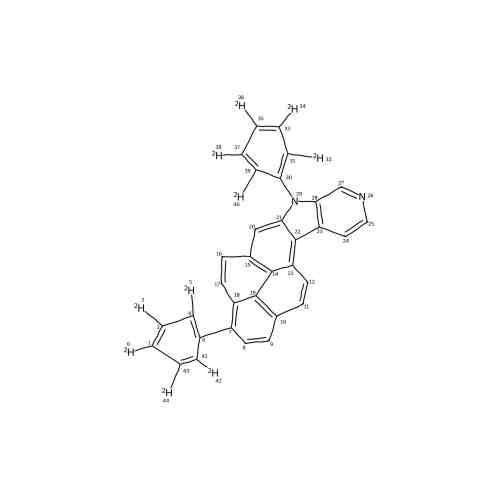 [2H]c1c([2H])c([2H])c(-c2ccc3ccc4c5c(ccc2c35)cc2c4c3ccncc3n2-c2c([2H])c([2H])c([2H])c([2H])c2[2H])c([2H])c1[2H]